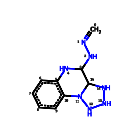 C=NNC1Nc2ccccc2N2NNNC12